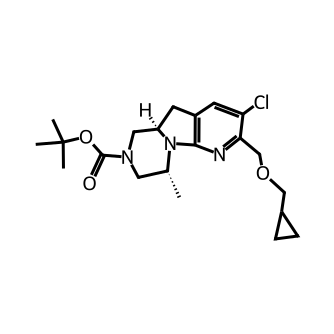 C[C@@H]1CN(C(=O)OC(C)(C)C)C[C@H]2Cc3cc(Cl)c(COCC4CC4)nc3N21